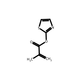 C=C(C)C(=O)Oc1nccs1